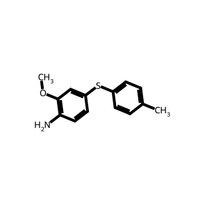 COc1cc(Sc2ccc(C)cc2)ccc1N